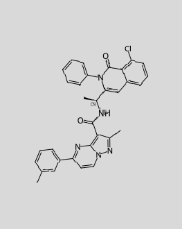 Cc1cccc(-c2ccn3nc(C)c(C(=O)N[C@@H](C)c4cc5cccc(Cl)c5c(=O)n4-c4ccccc4)c3n2)c1